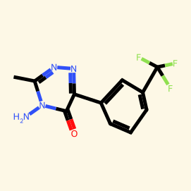 Cc1nnc(-c2cccc(C(F)(F)F)c2)c(=O)n1N